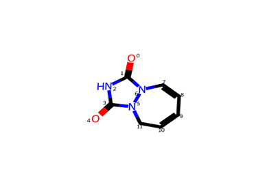 O=c1[nH]c(=O)n2n1C=CC=CC2